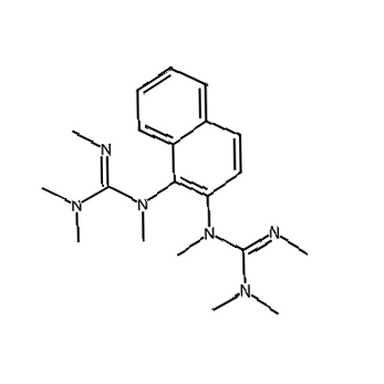 CN=C(N(C)C)N(C)c1ccc2ccccc2c1N(C)C(=NC)N(C)C